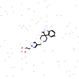 CS(=O)(=O)CCn1cc(CN2CCC3(CC2)C(=O)Nc2ccc(Cl)cc23)cn1